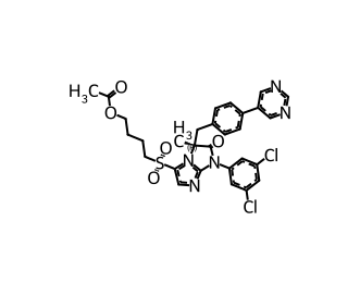 CC(=O)OCCCCS(=O)(=O)c1cnc2n1[C@](C)(Cc1ccc(-c3cncnc3)cc1)C(=O)N2c1cc(Cl)cc(Cl)c1